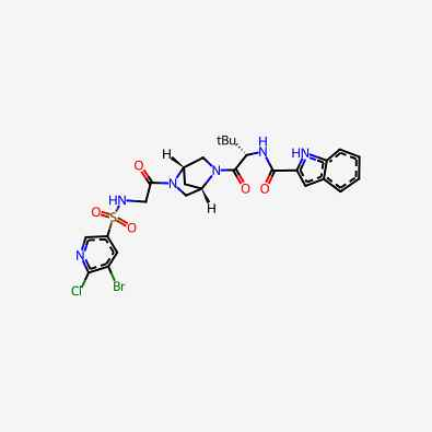 CC(C)(C)[C@H](NC(=O)c1cc2ccccc2[nH]1)C(=O)N1C[C@@H]2C[C@H]1CN2C(=O)CNS(=O)(=O)c1cnc(Cl)c(Br)c1